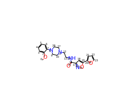 COc1ccccc1N1CCN(CCNC(=O)c2cc(-c3ccco3)on2)CC1